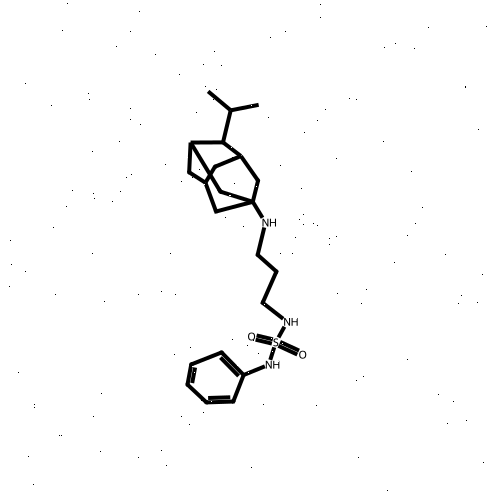 CC(C)C1C2CC3CC1CC(NCCCNS(=O)(=O)Nc1ccccc1)(C3)C2